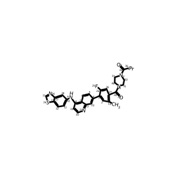 Cc1cc(-c2ccc3c(Nc4ccc5scnc5c4)ccnc3c2)c(F)cc1C(=O)N1CCN(C(=O)C(C)C)CC1